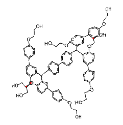 OCCOc1ccc(-c2ccc(OCCO)c(C(c3ccc(-c4ccc(C(c5cc(-c6ccc(OCCO)cc6)ccc5OCCO)c5cc(-c6ccc(OCCO)cc6)ccc5OCCO)cc4)cc3)c3cc(-c4ccc(OCCO)cc4)ccc3OCCO)c2)cc1